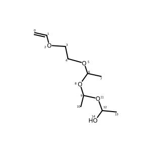 C=COCCOC(C)OC(C)OC(C)O